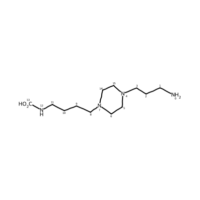 NCCCN1CCN(CCCCNC(=O)O)CC1